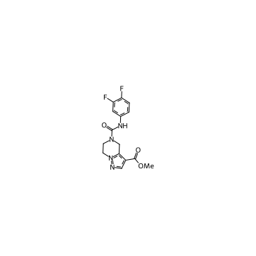 COC(=O)c1cnn2c1CN(C(=O)Nc1ccc(F)c(F)c1)CC2